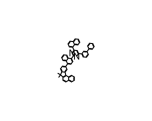 CC1(C)c2ccc(-c3ccc(-c4nc(-c5cccc(-c6ccccc6)c5)cc(-c5cccc6ccccc56)n4)c4ccccc34)cc2-c2c1ccc1ccccc21